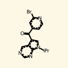 CC(C)n1cc(C(=O)c2ccnc(Br)c2)c2cncnc21